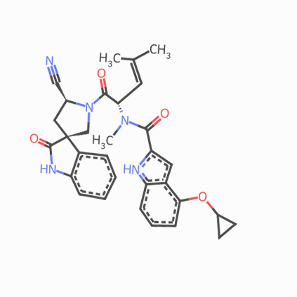 CC(C)=C[C@@H](C(=O)N1C[C@]2(C[C@H]1C#N)C(=O)Nc1ccccc12)N(C)C(=O)c1cc2c(OC3CC3)cccc2[nH]1